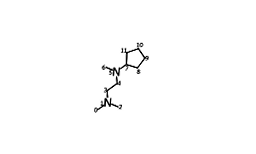 CN(C)CCN(C)C1CCCC1